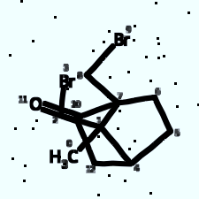 CC1(CBr)C2CCC1(CBr)C(=O)C2